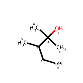 CCCCC(C)C(C)(C)O